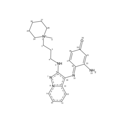 C[N+]1(CCCNc2nn3ccccc3c2/N=C2\C=CC(=O)C=C2N)CCCCC1